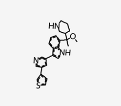 COC(C)(c1cccc2c(-c3cncc(-c4ccsc4)c3)c[nH]c12)C1CCCNC1